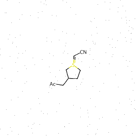 CC(=O)CC1CC/S(=C\C#N)C1